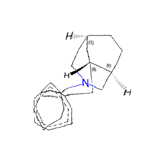 C1=CCC(N2C[C@H]3CC[C@@H](C2)[C@@H]3Cc2ccccc2)=C1